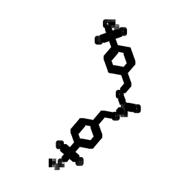 CS(=O)(=O)c1ccc(CO[PH](=O)OCc2ccc(S(C)(=O)=O)cc2)cc1